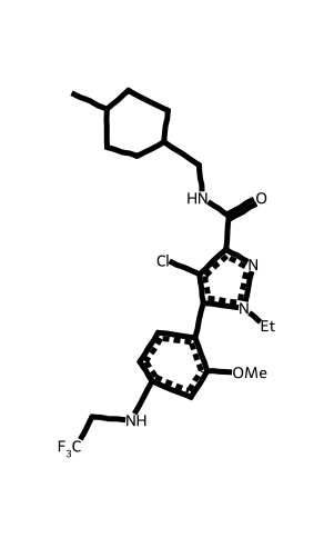 CCn1nc(C(=O)NCC2CCC(C)CC2)c(Cl)c1-c1ccc(NCC(F)(F)F)cc1OC